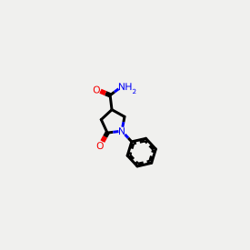 NC(=O)C1CC(=O)N(c2ccccc2)C1